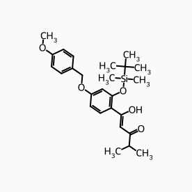 COc1ccc(COc2ccc(C(O)=CC(=O)C(C)C)c(O[Si](C)(C)C(C)(C)C)c2)cc1